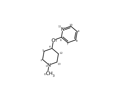 CN1CCC(Oc2ccccn2)CC1